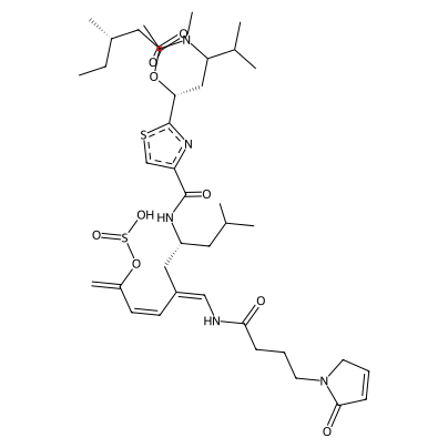 C=C(/C=C\C(=C/NC(=O)CCCN1CC=CC1=O)C[C@@H](CC(C)C)NC(=O)c1csc([C@@H](CC(C(C)C)N(C)C(=O)C[C@@H](C)CC)OC(C)=O)n1)OS(=O)O